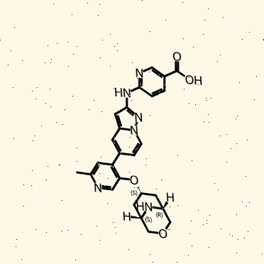 Cc1cc(-c2ccn3nc(Nc4ccc(C(=O)O)cn4)cc3c2)c(O[C@H]2C[C@H]3COC[C@@H](C2)N3)cn1